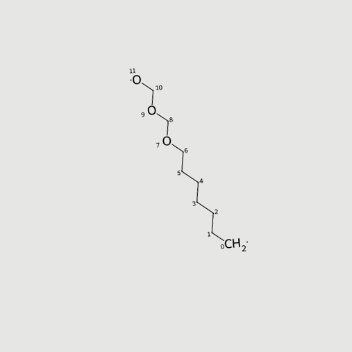 [CH2]CCCCCCOCOC[O]